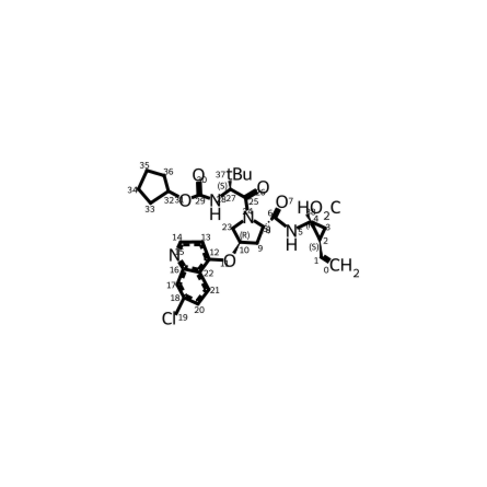 C=C[C@@H]1C[C@]1(NC(=O)[C@@H]1C[C@@H](Oc2ccnc3cc(Cl)ccc23)CN1C(=O)[C@@H](NC(=O)OC1CCCC1)C(C)(C)C)C(=O)O